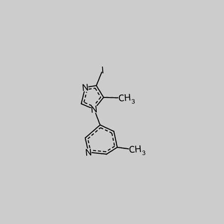 Cc1cncc(-n2cnc(I)c2C)c1